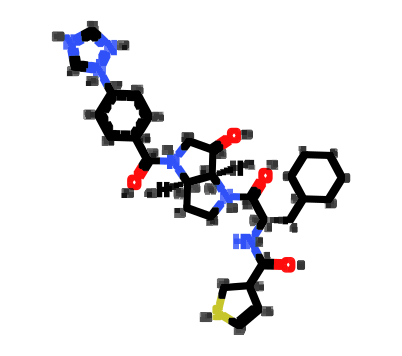 O=C(N[C@@H](CC1CCCCC1)C(=O)N1CC[C@@H]2[C@H]1C(=O)CN2C(=O)c1ccc(-n2cncn2)cc1)C1C=CSC1